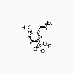 CCC=Cc1cc(S(=O)(=O)OF)ccc1C